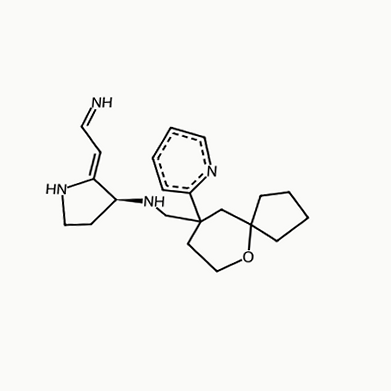 N=C/C=C1\NCC[C@@H]1NCC1(c2ccccn2)CCOC2(CCCC2)C1